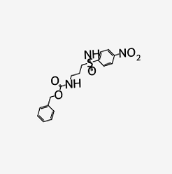 N=S(=O)(CCCNC(=O)OCc1ccccc1)c1ccc([N+](=O)[O-])cc1